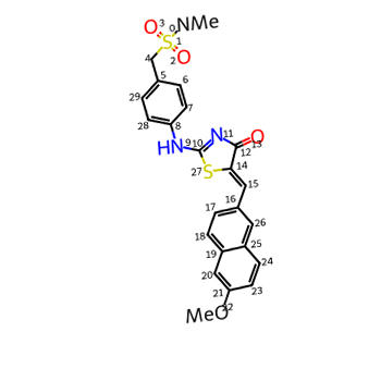 CNS(=O)(=O)Cc1ccc(NC2=NC(=O)/C(=C/c3ccc4cc(OC)ccc4c3)S2)cc1